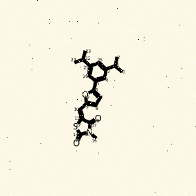 CC(C)c1cc(-c2ccc(/C=C3/SC(=O)N(C)C3=O)o2)cc(C(C)C)c1